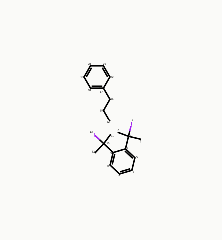 CC(C)(I)c1ccccc1C(C)(C)I.CCCc1ccccc1